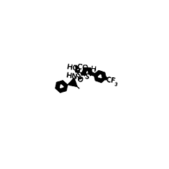 C[C@H]1[C@H](NS(=O)(=O)c2ccc(-c3ccc(C(F)(F)F)cc3)s2)[C@H]1c1ccccc1.O=C(O)O